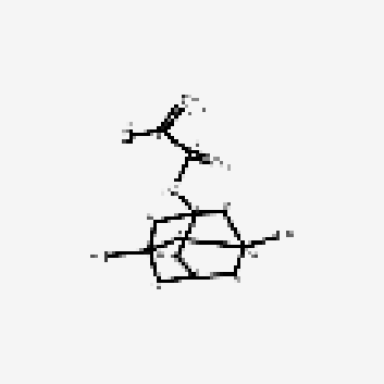 C=C(Cl)C(=O)OC12CC3CC(I)(CC(I)(C3)C1)C2